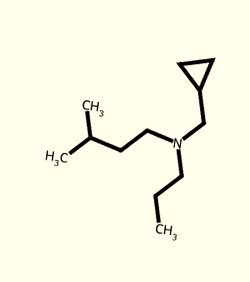 CCCN(CCC(C)C)CC1CC1